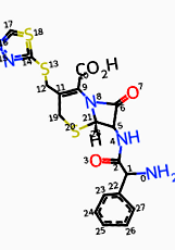 NC(C(=O)NC1C(=O)N2C(C(=O)O)=C(CSc3nncs3)CS[C@@H]12)c1ccccc1